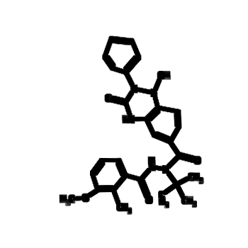 COc1cccc(C(=O)NN(C(=O)c2ccc3c(c2)NC(=O)N(c2ccccc2)B3O)C(C)(C)C)c1C